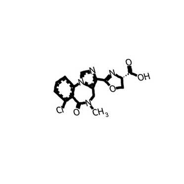 CN1Cc2c(C3=N[C@H](C(=O)O)CO3)ncn2-c2cccc(Cl)c2C1=O